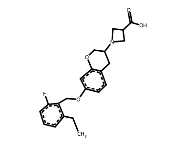 CCc1cccc(F)c1COc1ccc2c(c1)OCC(N1CC(C(=O)O)C1)C2